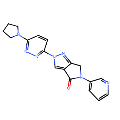 O=C1c2cn(-c3ccc(N4CCCC4)nn3)nc2CN1c1cccnc1